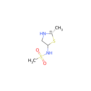 C[C@H]1NCC(NS(C)(=O)=O)S1